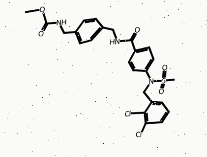 COC(=O)NCc1ccc(CNC(=O)c2ccc(N(Cc3cccc(Cl)c3Cl)S(C)(=O)=O)cc2)cc1